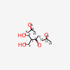 CC(=O)C(CO)CO.CC(C)=O.CC(C)=O